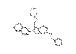 COc1ccccc1/C=C/c1cc2cc(OCc3ccccc3)ccc2n1CCN1CCOCC1